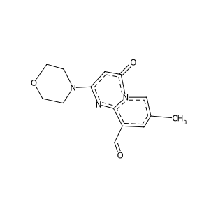 Cc1cc(C=O)c2nc(N3CCOCC3)cc(=O)n2c1